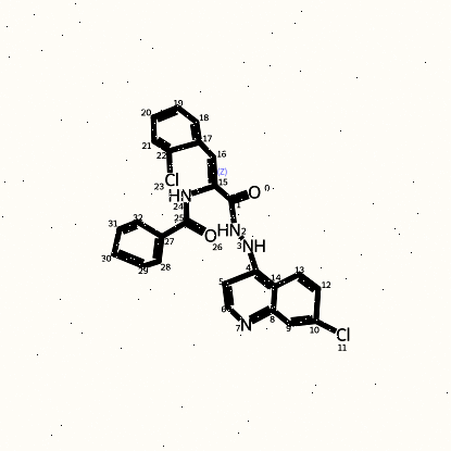 O=C(NNc1ccnc2cc(Cl)ccc12)/C(=C/c1ccccc1Cl)NC(=O)c1ccccc1